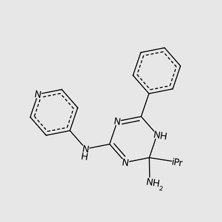 CC(C)C1(N)N=C(Nc2ccncc2)N=C(c2ccccc2)N1